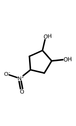 O=[N+]([O-])C1CC(O)C(O)C1